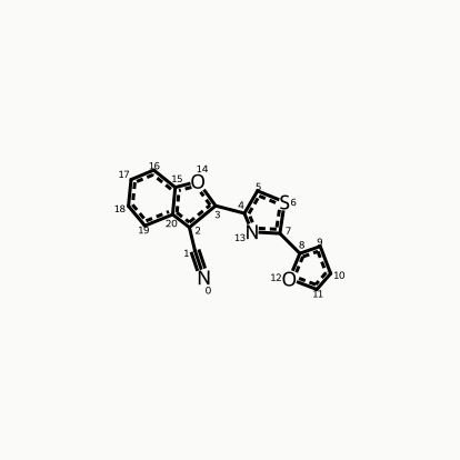 N#Cc1c(-c2csc(-c3ccco3)n2)oc2ccccc12